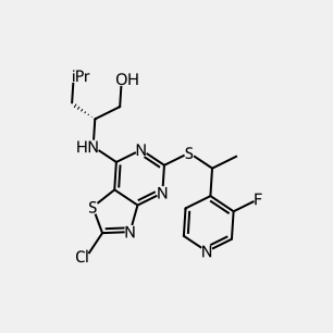 CC(C)C[C@H](CO)Nc1nc(SC(C)c2ccncc2F)nc2nc(Cl)sc12